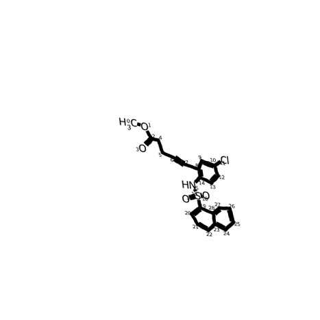 COC(=O)CCC#Cc1cc(Cl)ccc1NS(=O)(=O)c1cccc2ccccc12